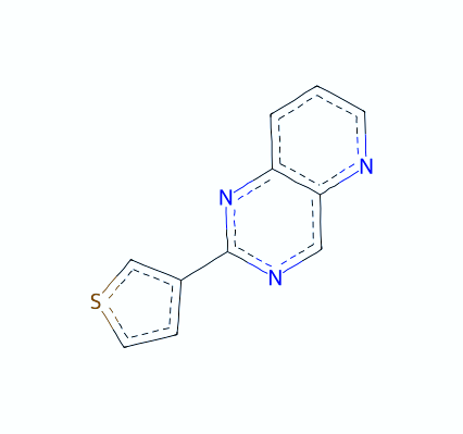 c1cnc2cnc(-c3ccsc3)nc2c1